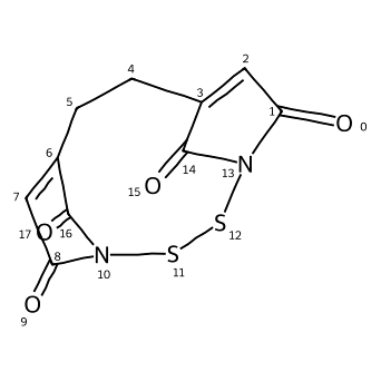 O=C1C=C2CCC3=CC(=O)N(SSN1C2=O)C3=O